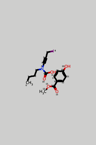 CCCCN(C#CCI)C(=O)O.COC(=O)c1ccc(O)cc1